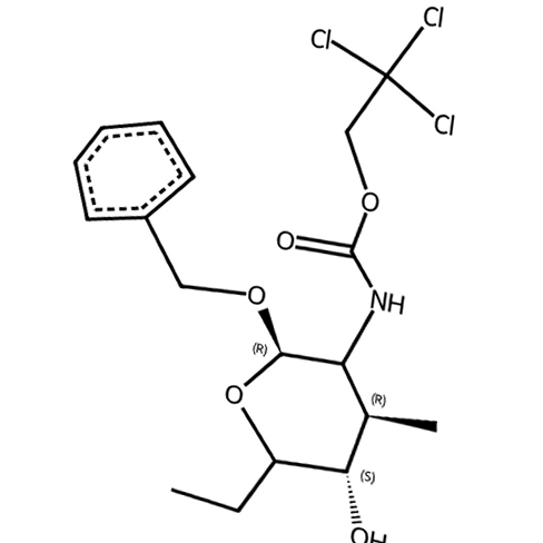 CCC1O[C@@H](OCc2ccccc2)C(NC(=O)OCC(Cl)(Cl)Cl)[C@@H](C)[C@@H]1O